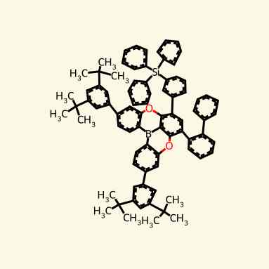 CC(C)(C)c1cc(-c2ccc3c(c2)Oc2c(-c4cccc([Si](c5ccccc5)(c5ccccc5)c5ccccc5)c4)cc(-c4ccccc4-c4ccccc4)c4c2B3c2ccc(-c3cc(C(C)(C)C)cc(C(C)(C)C)c3)cc2O4)cc(C(C)(C)C)c1